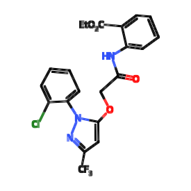 CCOC(=O)c1ccccc1NC(=O)COc1cc(C(F)(F)F)nn1-c1ccccc1Cl